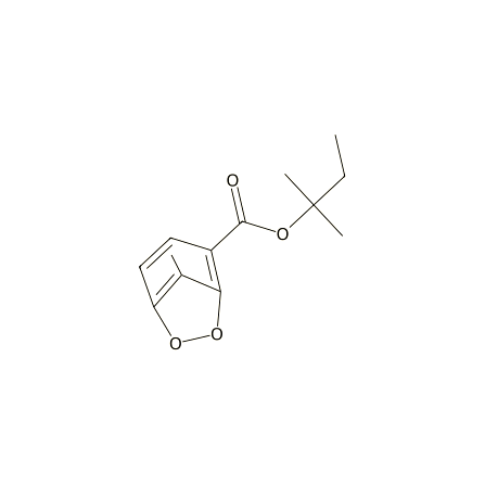 CCC(C)(C)OC(=O)c1ccc2c(C)c1OO2